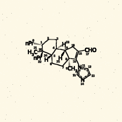 CCC[C@@H]1CC[C@@H]2[C@H](CC[C@]3(C)C(n4ccnc4)=C(C=O)C[C@@H]23)[C@@]1(C)CCC